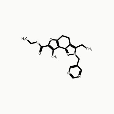 CCOC(=O)c1oc2c(c1C)-c1nn(Cc3cncnc3)c(CC)c1CC2